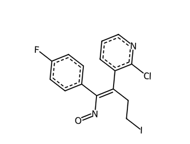 O=N/C(=C(\CCI)c1cccnc1Cl)c1ccc(F)cc1